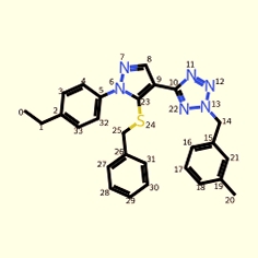 CCc1ccc(-n2ncc(-c3nnn(Cc4cccc(C)c4)n3)c2SCc2ccccc2)cc1